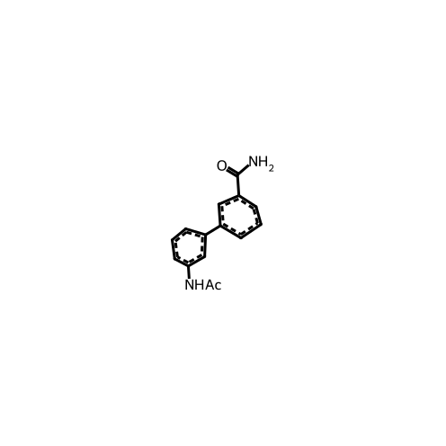 CC(=O)Nc1cccc(-c2cccc(C(N)=O)c2)c1